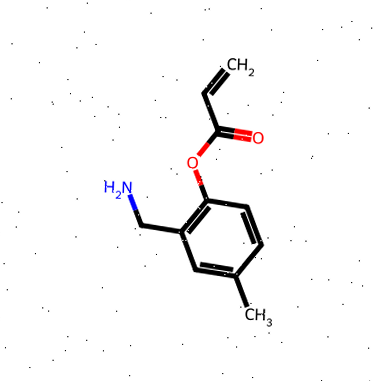 C=CC(=O)Oc1ccc(C)cc1CN